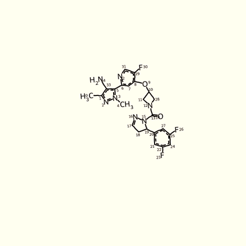 Cc1nn(C)c(-c2cc(OC3CN(C(=O)N4N=CCC4c4cc(F)cc(F)c4)C3)c(F)cn2)c1N